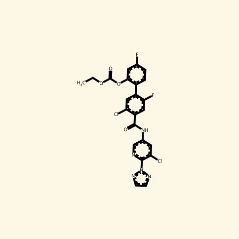 CCOC(=O)Oc1cc(F)ccc1-c1cc(Cl)c(C(=O)Nc2cnc(-n3nccn3)c(Cl)c2)cc1F